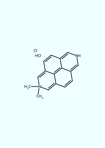 C[N+]1(C)C=c2ccc3c4c(ccc(c24)=C1)=CNC=3.Cl.[Cl-]